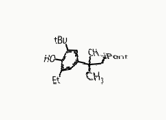 CCCC(C)CC(C)(C)c1cc(CC)c(O)c(C(C)(C)C)c1